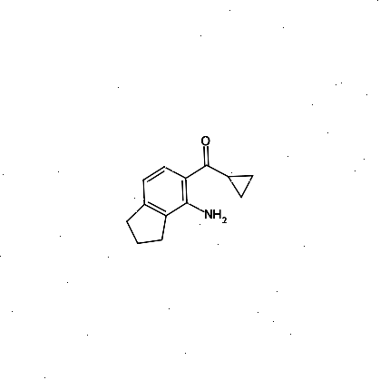 Nc1c(C(=O)C2CC2)ccc2c1CCC2